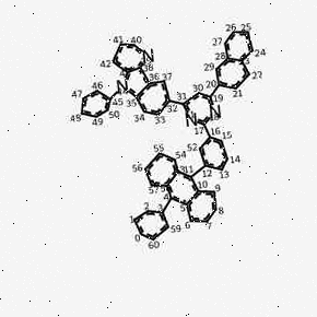 c1ccc(-c2c3ccccc3c(-c3cccc(-c4nc(-c5ccc6ccccc6c5)cc(-c5ccc6c(c5)c5ncccc5n6-c5ccccc5)n4)c3)c3ccccc23)cc1